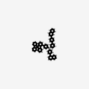 c1ccc(C2(c3ccccc3)c3ccccc3-c3c(-c4ccc(N(c5ccc(-c6cccc7ccccc67)cc5)c5cccc(-c6ccc(-c7ccc8ccccc8c7)cc6)c5)cc4)cccc32)cc1